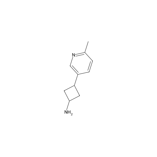 Cc1ccc(C2CC(N)C2)cn1